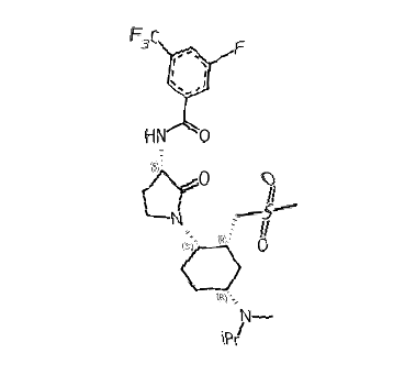 CC(C)N(C)[C@@H]1CC[C@H](N2CC[C@H](NC(=O)c3cc(F)cc(C(F)(F)F)c3)C2=O)[C@H](CS(C)(=O)=O)C1